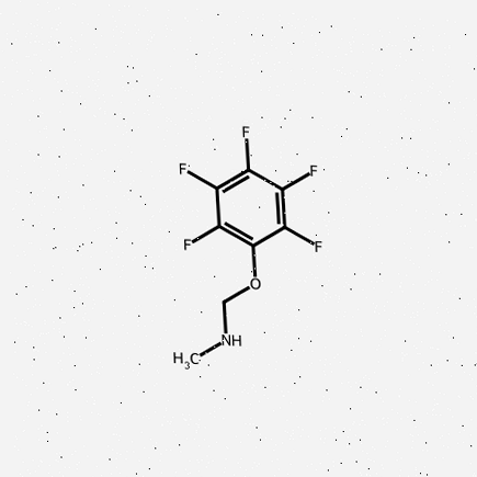 CNCOc1c(F)c(F)c(F)c(F)c1F